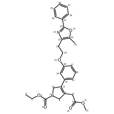 CCOC(=O)N1CC(CC(=O)OC)=C(c2cccc(OCCc3nc(-c4ccccc4)oc3C)c2)C1